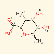 C[C@H]1OC(C(=O)O)[C@H](C)[C@H](O)C1O